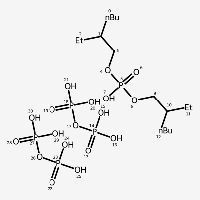 CCCCC(CC)COP(=O)(O)OCC(CC)CCCC.O=P(O)(O)OP(=O)(O)O.O=P(O)(O)OP(=O)(O)O